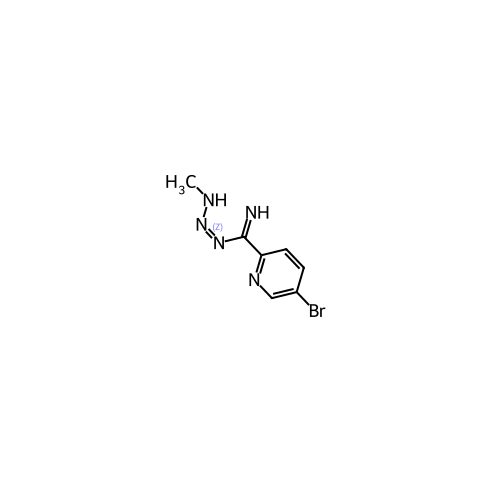 CN/N=N\C(=N)c1ccc(Br)cn1